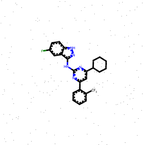 Fc1ccc2[nH]nc(Nc3nc(-c4ccccc4C(F)(F)F)cc(C4CCCCC4)n3)c2c1